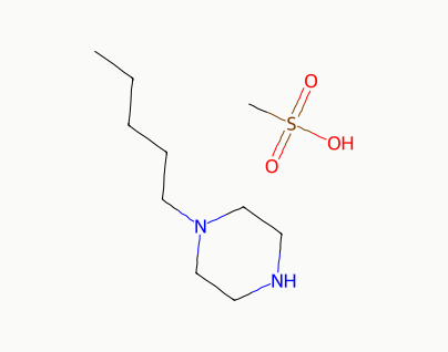 CCCCCN1CCNCC1.CS(=O)(=O)O